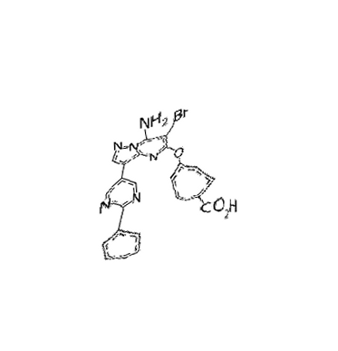 Nc1c(Br)c(Oc2ccc(C(=O)O)cc2)nc2c(-c3cnc(-c4ccccc4)nc3)cnn12